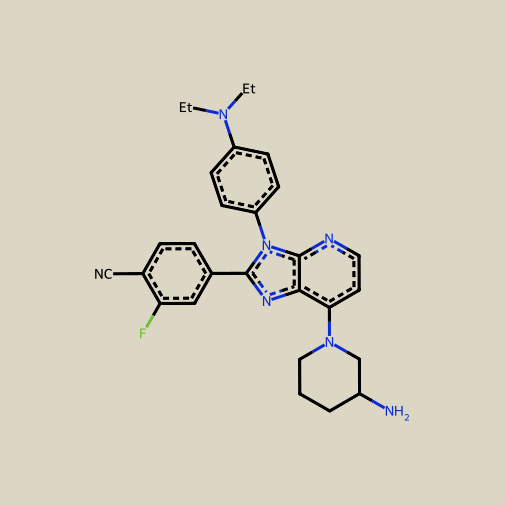 CCN(CC)c1ccc(-n2c(-c3ccc(C#N)c(F)c3)nc3c(N4CCCC(N)C4)ccnc32)cc1